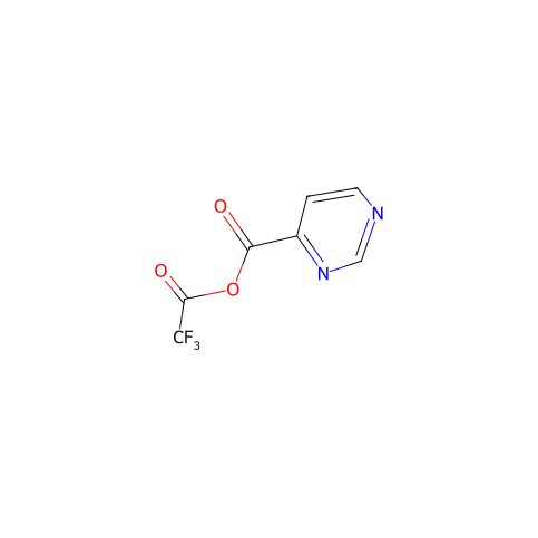 O=C(OC(=O)C(F)(F)F)c1ccncn1